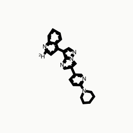 [2H]c1cc(-c2cnn3cc(-c4ccc(N5CCCCC5)nc4)cnc23)c2ccccc2n1